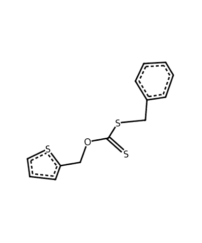 S=C(OCc1cccs1)SCc1ccccc1